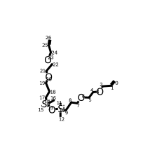 C=CCOCCOCCC[Si](C)(C)O[Si](C)(C)CCCOCCOCC=C